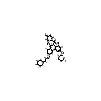 Cc1ccc2c(c1)OC(c1ccc(OCCN3CCCCC3)cc1)C(c1ccc(OC3CCCCO3)cc1)C2(C)O